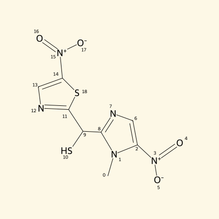 Cn1c([N+](=O)[O-])cnc1C(S)c1ncc([N+](=O)[O-])s1